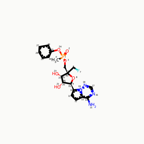 CP(=O)(OC[C@@]1(CF)O[C@@H](c2ccc3c(N)ncnn23)[C@H](O)[C@@H]1O)Oc1ccccc1